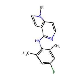 CCn1ccc2c(Nc3c(C)cc(F)cc3C)nccc21